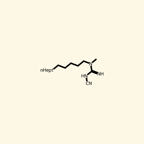 CCCCCCCCCCCCN(C)C(=N)NC#N